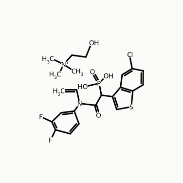 C=CN(C(=O)C(c1csc2ccc(Cl)cc12)P(=O)(O)O)c1ccc(F)c(F)c1.C[N+](C)(C)CCO